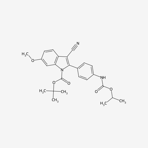 COc1ccc2c(C#N)c(-c3ccc(NC(=O)OC(C)C)cc3)n(C(=O)OC(C)(C)C)c2c1